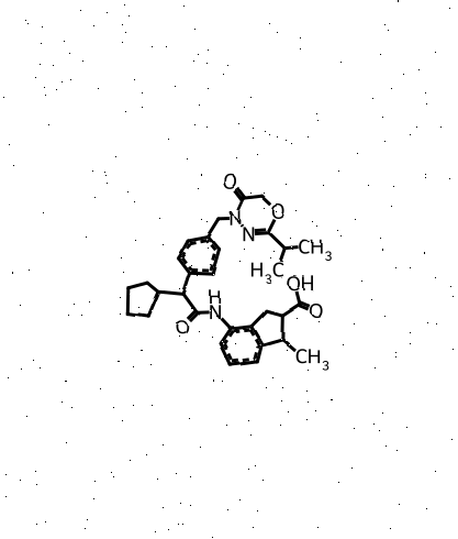 CC(C)C1=NN(Cc2ccc(C(C(=O)Nc3cccc4c3CC(C(=O)O)C4C)C3CCCC3)cc2)C(=O)CO1